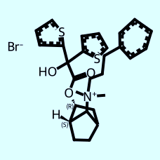 C[N+](C)(CCCc1ccccc1)C1C2CC[C@@H]1[C@H](OC(=O)C(O)(c1cccs1)c1cccs1)C2.[Br-]